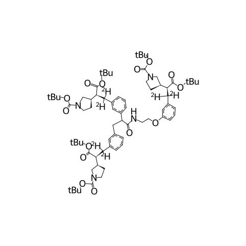 [2H]C([2H])(c1cccc(CC(C(=O)NCCOc2cccc(C([2H])([2H])[C@H](C(=O)OC(C)(C)C)[C@H]3CCN(C(=O)OC(C)(C)C)C3)c2)c2cccc(C([2H])([2H])[C@H](C(=O)OC(C)(C)C)[C@H]3CCN(C(=O)OC(C)(C)C)C3)c2)c1)[C@H](C(=O)OC(C)(C)C)[C@H]1CCN(C(=O)OC(C)(C)C)C1